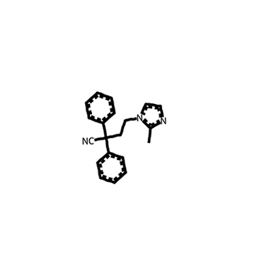 Cc1nccn1CCC(C#N)(c1ccccc1)c1ccccc1